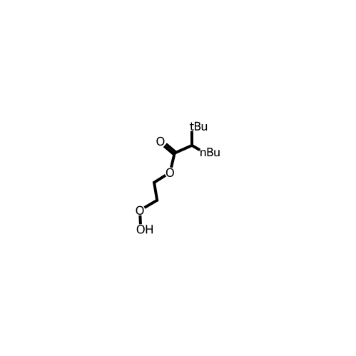 CCCCC(C(=O)OCCOO)C(C)(C)C